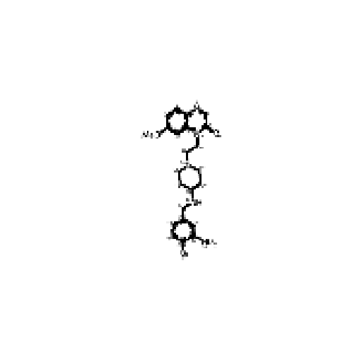 COc1ccc2ncc(=O)n(CCN3CCC(NCc4ccc(Br)c([N+](=O)[O-])c4)CC3)c2c1